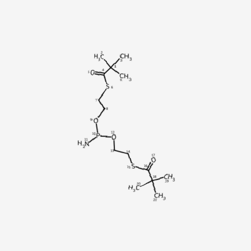 CC(C)(C)C(=O)SCCOP(N)OCCSC(=O)C(C)(C)C